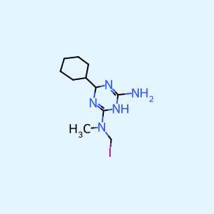 CN(CI)C1=NC(C2CCCCC2)N=C(N)N1